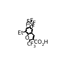 CCc1cc(S(F)(F)(F)(F)F)cc2c1OC(C(F)(F)F)C(C(=O)O)=C2